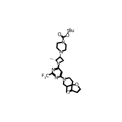 CC1CN(c2cc(N3C[C@@H](N4CCN(C(=O)OC(C)(C)C)CC4)[C@H]3C)nc(C(F)(F)F)n2)CCC12OCCC2=O